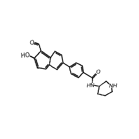 O=Cc1c(O)ccc2cc(-c3ccc(C(=O)NC4CCCNC4)cc3)ccc12